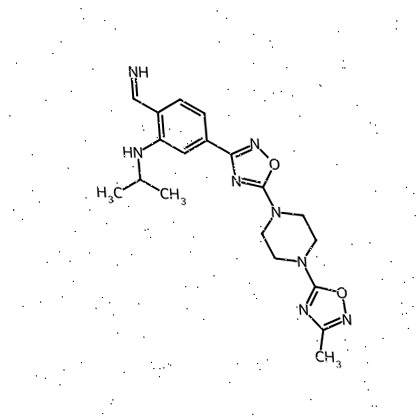 Cc1noc(N2CCN(c3nc(-c4ccc(C=N)c(NC(C)C)c4)no3)CC2)n1